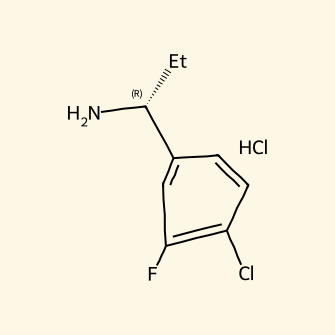 CC[C@@H](N)c1ccc(Cl)c(F)c1.Cl